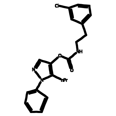 CCCc1c(OC(=O)NCCc2cccc(Cl)c2)cnn1-c1ccccc1